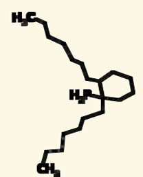 CCCCCCCC1CCCCC1(P)CCCCCCC